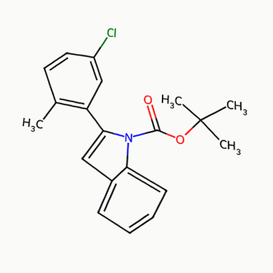 Cc1ccc(Cl)cc1-c1cc2ccccc2n1C(=O)OC(C)(C)C